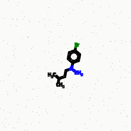 CC(C)CCN(N)c1ccc(Br)cc1